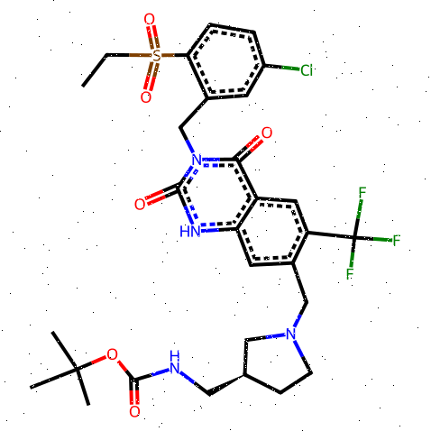 CCS(=O)(=O)c1ccc(Cl)cc1Cn1c(=O)[nH]c2cc(CN3CC[C@@H](CNC(=O)OC(C)(C)C)C3)c(C(F)(F)F)cc2c1=O